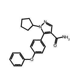 NC(=O)c1cnn(C2CCCC2)c1-c1ccc(Oc2ccccc2)cc1